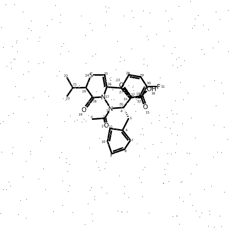 CC(=O)N([C@@H](Cc1ccccc1)C(=O)C(=O)O)N1C(=O)C(C(C)C)SC=C1c1ccc(F)cc1